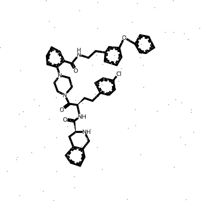 O=C(NCCc1cccc(Oc2ccccc2)c1)c1ccccc1N1CCN(C(=O)[C@@H](CCc2ccc(Cl)cc2)NC(=O)[C@@H]2Cc3ccccc3CN2)CC1